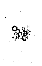 NC(=O)C(=O)C(Cc1ccccc1)NC(=O)c1[nH]cnc1-c1ccccn1